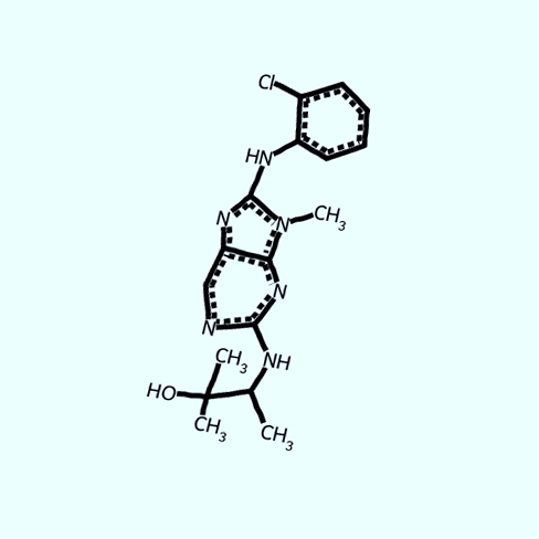 CC(Nc1ncc2nc(Nc3ccccc3Cl)n(C)c2n1)C(C)(C)O